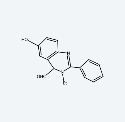 CCN1C(c2ccccc2)=Nc2ccc(O)cc2C1C=O